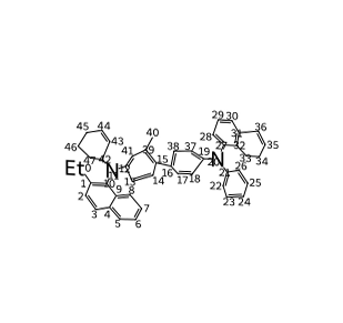 CCc1ccc2ccccc2c1N(c1ccc(-c2ccc(N(c3ccccc3)c3cccc4c3CCC=C4)cc2)c(C)c1)C1C=CCCC1